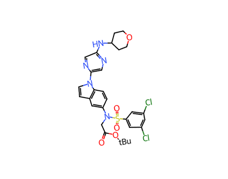 CC(C)(C)OC(=O)CN(c1ccc2c(ccn2-c2cnc(NC3CCOCC3)cn2)c1)S(=O)(=O)c1cc(Cl)cc(Cl)c1